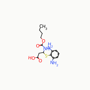 CCCCOC(=O)NC(CC(=O)O)Sc1c(N)cccc1N